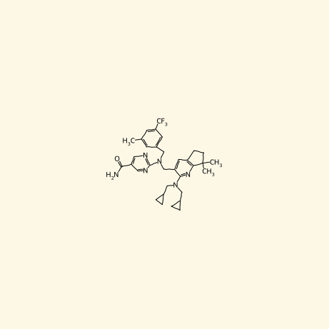 Cc1cc(CN(Cc2cc3c(nc2N(CC2CC2)CC2CC2)C(C)(C)CC3)c2ncc(C(N)=O)cn2)cc(C(F)(F)F)c1